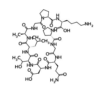 CC(C)C[C@H](NC(=O)[C@@H](NC(=O)[C@H](CC(=O)O)NC(=O)[C@H](CCC(N)=O)NC(=O)CNC(=O)[C@@H]1CCCN1)C(C)O)C(=O)N[C@@H](C)C(=O)NCC(=O)N1CCC[C@H]1C(=O)N[C@@H](CCCCN)C(=O)O